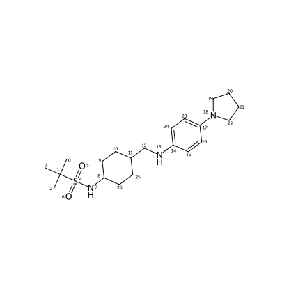 CC(C)(C)S(=O)(=O)NC1CCC(CNc2ccc(N3CCCC3)cc2)CC1